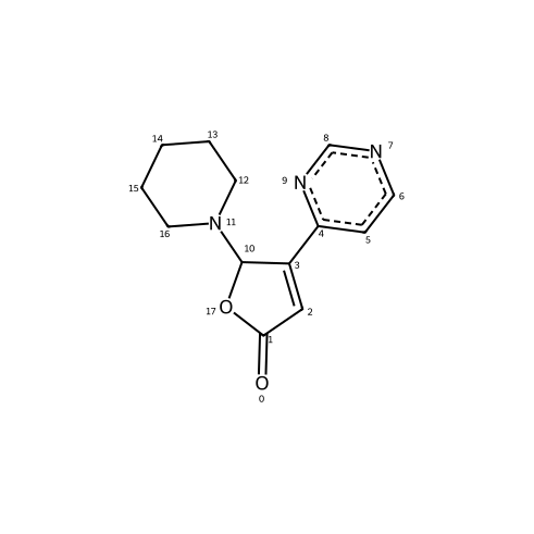 O=C1C=C(c2ccncn2)C(N2CCCCC2)O1